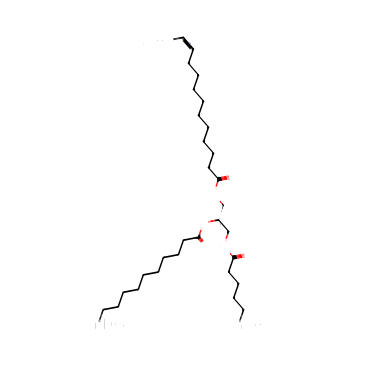 CCCCCCCCCC/C=C\CCCCCCCCCC(=O)OC[C@@H](COC(=O)CCCCCCCCCCCCCC)OC(=O)CCCCCCCCCCCCCCCCCCC